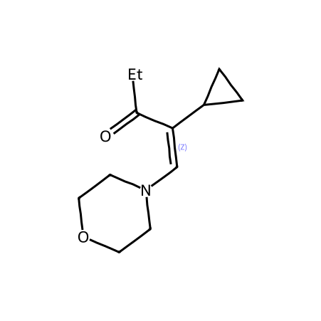 CCC(=O)/C(=C\N1CCOCC1)C1CC1